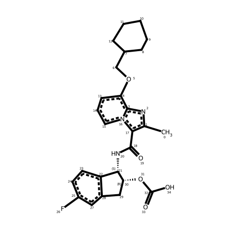 Cc1nc2c(OCC3CCCCC3)cccn2c1C(=O)N[C@H]1c2ccc(F)cc2C[C@H]1OC(=O)O